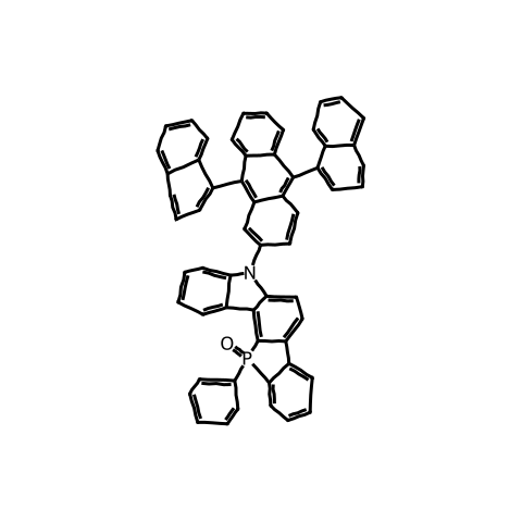 O=P1(c2ccccc2)c2ccccc2-c2ccc3c(c21)c1ccccc1n3-c1ccc2c(-c3cccc4ccccc34)c3ccccc3c(-c3cccc4ccccc34)c2c1